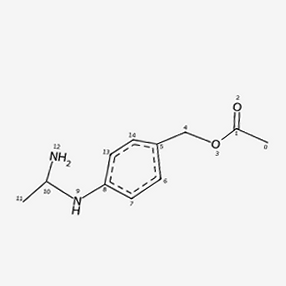 CC(=O)OCc1ccc(NC(C)N)cc1